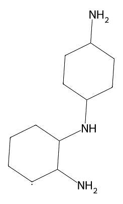 NC1CCC(NC2CCC[CH]C2N)CC1